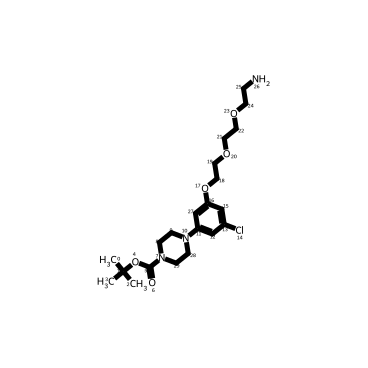 CC(C)(C)OC(=O)N1CCN(c2cc(Cl)cc(OCCOCCOCCN)c2)CC1